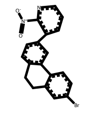 O=[N+]([O-])c1ncccc1-c1ccc2c(c1)-c1ccc(Br)cc1CC2